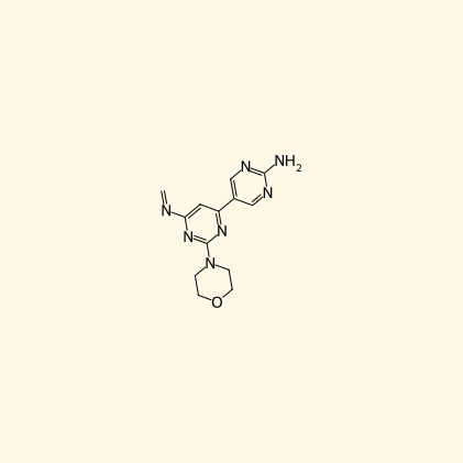 C=Nc1cc(-c2cnc(N)nc2)nc(N2CCOCC2)n1